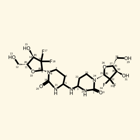 O=C1NC(NC2CCN([C@@H]3O[C@H](CO)[C@@H](O)C3(F)F)C(=O)N2)CCN1[C@@H]1O[C@H](CO)[C@@H](O)C1(F)F